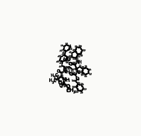 COC(=O)N[C@H](C(=O)NN(CC[C@](Cc1ccccc1)(NC(=O)OCc1ccccc1)C(=O)N[C@H]1c2ccccc2C[C@H]1O)Cc1ccc(-c2cccnc2)cc1)C(C)(C)C